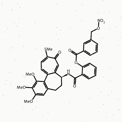 COc1cc2c(c(OC)c1OC)-c1ccc(SC)c(=O)cc1[C@@H](NC(=O)c1ccccc1OC(=O)c1cccc(CO[N+](=O)[O-])c1)CC2